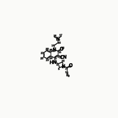 C#CC(=O)N1CC(Nc2c(C#N)c(=O)n(CCN(C)C)c3ccccc23)C1